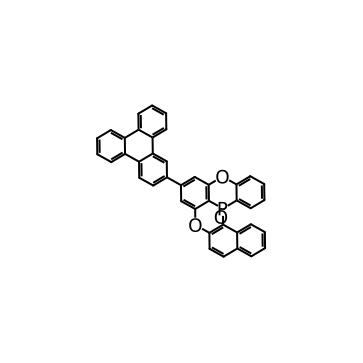 O=P12c3ccccc3Oc3cc(-c4ccc5c6ccccc6c6ccccc6c5c4)cc(c31)Oc1ccc3ccccc3c12